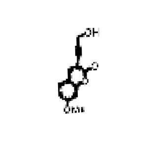 COc1ccc2cc(C#CCO)c(=O)oc2c1